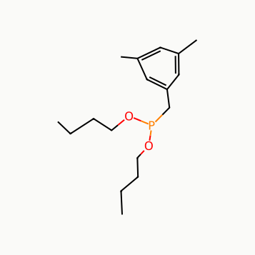 CCCCOP(Cc1cc(C)cc(C)c1)OCCCC